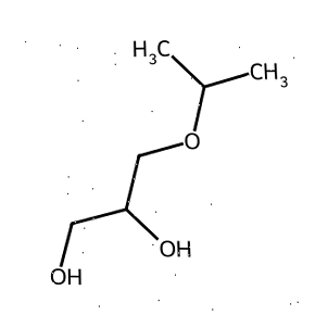 CC(C)OCC(O)CO